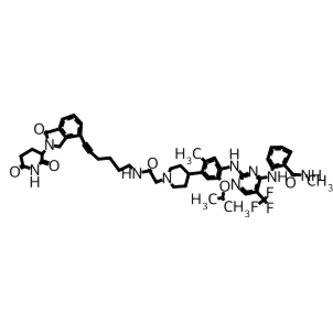 CNC(=O)c1ccccc1Nc1nc(Nc2cc(C)c(C3CCN(CC(=O)NCCCCC#Cc4cccc5c4CN(C4CCC(=O)NC4=O)C5=O)CC3)cc2OC(C)C)ncc1C(F)(F)F